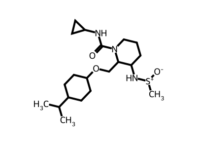 CC(C)C1CCC(OCC2C(N[S+](C)[O-])CCCN2C(=O)NC2CC2)CC1